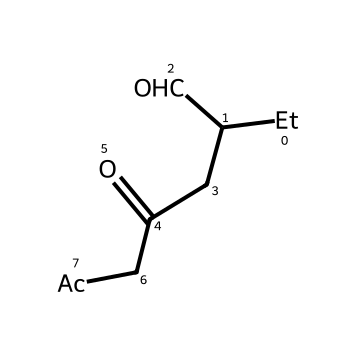 CCC(C=O)CC(=O)CC(C)=O